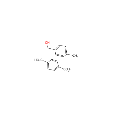 Cc1ccc(CO)cc1.O=C(O)c1ccc(C(=O)O)cc1